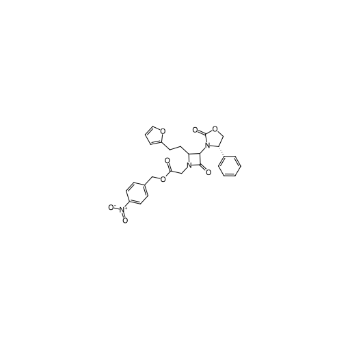 O=C(CN1C(=O)C(N2C(=O)OC[C@@H]2c2ccccc2)C1CCc1ccco1)OCc1ccc([N+](=O)[O-])cc1